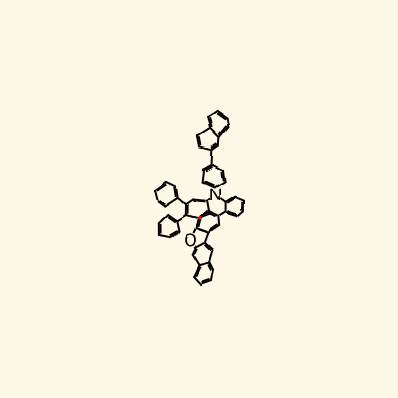 c1ccc(-c2ccc(N(c3ccc(-c4ccc5ccccc5c4)cc3)c3ccccc3-c3ccc4oc5cc6ccccc6cc5c4c3)cc2-c2ccccc2)cc1